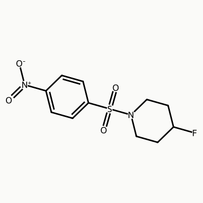 O=[N+]([O-])c1ccc(S(=O)(=O)N2CCC(F)CC2)cc1